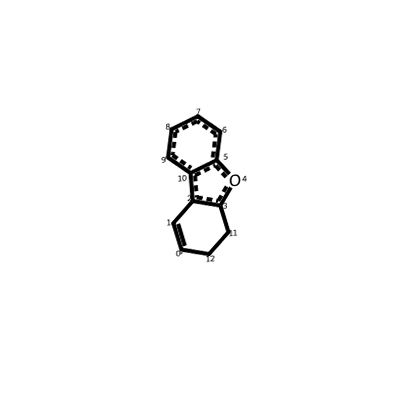 [C]1=Cc2c(oc3ccccc23)CC1